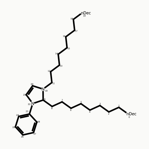 CCCCCCCCCCCCCCCCCCC1N(CCCCCCCCCCCCCCCCCC)C=CN1c1ccccc1